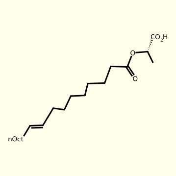 CCCCCCCCC=CCCCCCCCC(=O)O[C@@H](C)C(=O)O